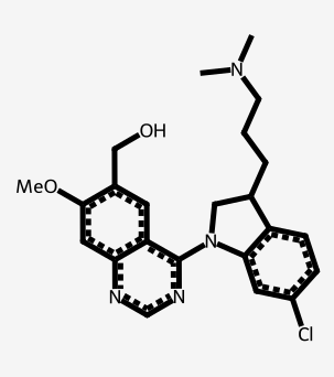 COc1cc2ncnc(N3CC(CCCN(C)C)c4ccc(Cl)cc43)c2cc1CO